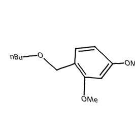 [CH2]CCCOCc1ccc(OC)cc1OC